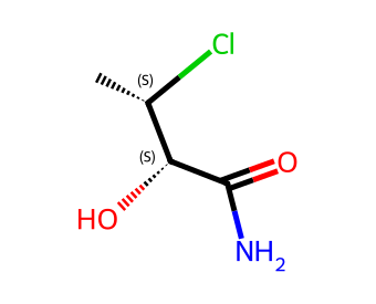 C[C@H](Cl)[C@@H](O)C(N)=O